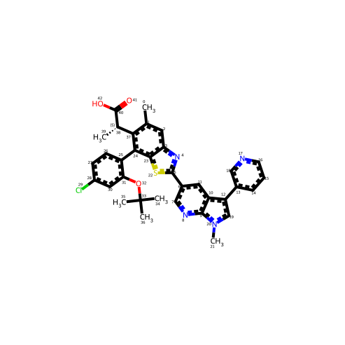 Cc1cc2nc(-c3cnc4c(c3)c(-c3cccnc3)cn4C)sc2c(-c2ccc(Cl)cc2OC(C)(C)C)c1[C@H](C)C(=O)O